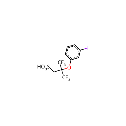 O=S(=O)(O)CC(Oc1cccc(I)c1)(C(F)(F)F)C(F)(F)F